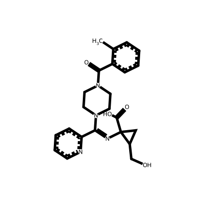 Cc1ccccc1C(=O)N1CCN(C(=NC2(C(=O)O)CC2CO)c2ccccn2)CC1